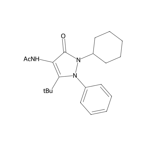 CC(=O)Nc1c(C(C)(C)C)n(-c2ccccc2)n(C2CCCCC2)c1=O